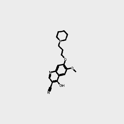 COc1cc2c(O)c(C#N)cnc2cc1OCCCN1CCCCC1